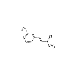 CC(C)c1cc(/C=C/C(N)=O)ccn1